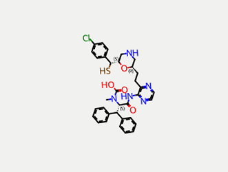 CN(C(=O)O)[C@H](C(=O)Nc1nccnc1CC[C@@H]1CNC[C@@H](C(S)c2ccc(Cl)cc2)O1)C(c1ccccc1)c1ccccc1